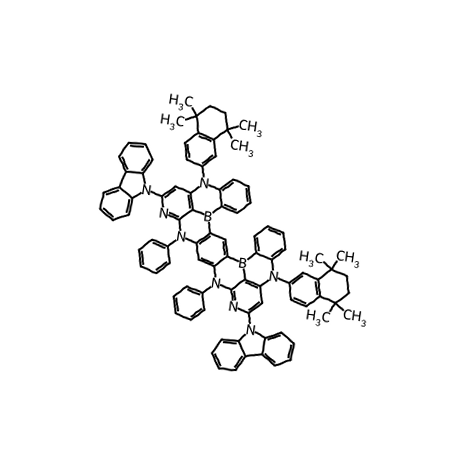 CC1(C)CCC(C)(C)c2cc(N3c4ccccc4B4c5cc6c(cc5N(c5ccccc5)c5nc(-n7c8ccccc8c8ccccc87)cc3c54)N(c3ccccc3)c3nc(-n4c5ccccc5c5ccccc54)cc4c3B6c3ccccc3N4c3ccc4c(c3)C(C)(C)CCC4(C)C)ccc21